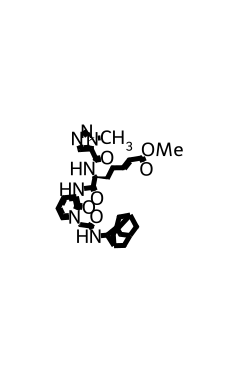 COC(=O)/C=C/CC[C@H](NC(=O)c1cnnn1C)C(=O)Nc1cccn(CC(=O)NC2C3CC4CC(C3)CC2C4)c1=O